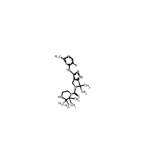 Cc1ncc(F)c(Nc2n[nH]c3c2CN(C(=O)N2CCNC(C)(C)C2(C)C)C3(C)C)n1